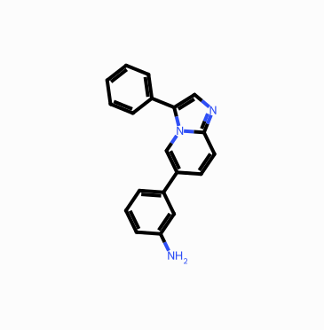 Nc1cccc(-c2ccc3ncc(-c4ccccc4)n3c2)c1